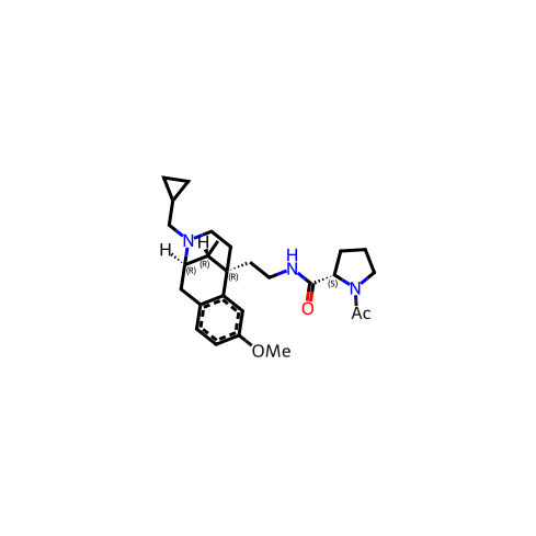 COc1ccc2c(c1)[C@]1(CCNC(=O)[C@@H]3CCCN3C(C)=O)CCN(CC3CC3)[C@H](C2)[C@@H]1C